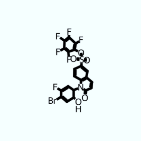 O=c1ccc2cc(S(=O)(=O)Oc3c(F)c(F)c(F)c(F)c3F)ccc2n1C1C=C(F)C(Br)=CC1O